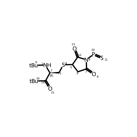 CC(C)(C)N[C@@H](CSC1CC(=O)N(P=S)C1=O)C(=O)C(C)(C)C